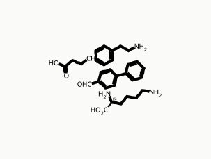 CCCC(=O)O.NCCCC[C@H](N)C(=O)O.NCCc1ccccc1.O=Cc1ccc(-c2ccccc2)cc1